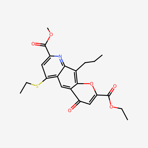 CCCc1c2nc(C(=O)OC)cc(SCC)c2cc2c(=O)cc(C(=O)OCC)oc12